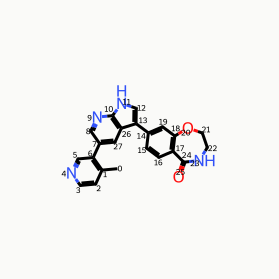 Cc1ccncc1-c1cnc2[nH]cc(-c3ccc4c(c3)OCCNC4=O)c2c1